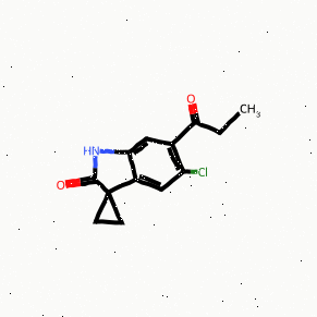 CCC(=O)c1cc2c(cc1Cl)C1(CC1)C(=O)N2